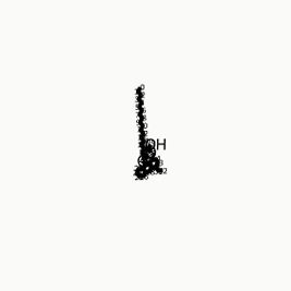 CCCCCCCCCCCCCCC=CC(CC(=O)Oc1c2ccccc2cc2c(CC)cccc12)C(=O)O